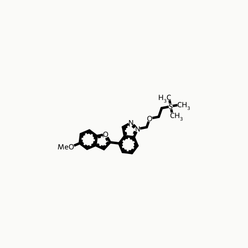 COc1ccc2oc(-c3cccc4c3cnn4COCCS(C)(C)C)cc2c1